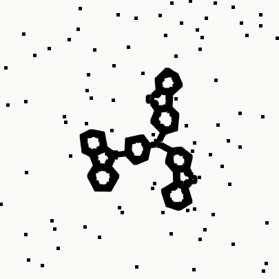 c1ccc2c(c1)oc1cc(N(c3ccc(-n4c5ccccc5c5ccccc54)cc3)c3ccc4oc5ccccc5c4c3)ccc12